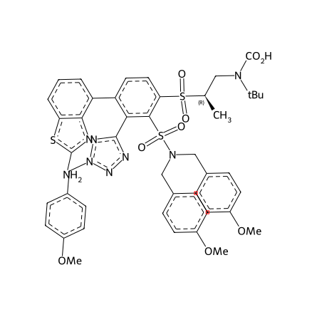 COc1ccc(CN(Cc2ccc(OC)cc2)S(=O)(=O)c2c(S(=O)(=O)[C@H](C)CN(C(=O)O)C(C)(C)C)ccc(-c3cccc4sc(N)nc34)c2-c2nnn(Cc3ccc(OC)cc3)n2)cc1